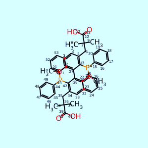 COc1ccc(CC(C)(C)C(=O)O)c(P(c2ccccc2)c2ccccc2)c1-c1c(OC)ccc(CC(C)(C)C(=O)O)c1P(c1ccccc1)c1ccccc1